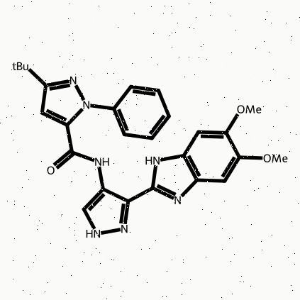 COc1cc2nc(-c3n[nH]cc3NC(=O)c3cc(C(C)(C)C)nn3-c3ccccc3)[nH]c2cc1OC